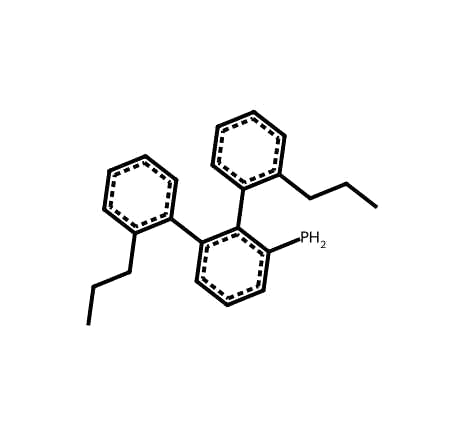 CCCc1ccccc1-c1cccc(P)c1-c1ccccc1CCC